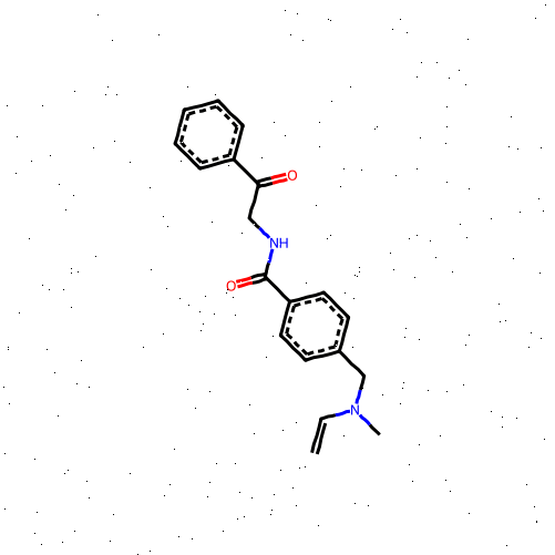 C=CN(C)Cc1ccc(C(=O)NCC(=O)c2ccccc2)cc1